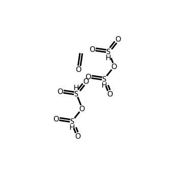 C=O.O=[SH](=O)O[SH](=O)=O.O=[SH](=O)O[SH](=O)=O